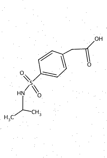 CC(C)NS(=O)(=O)c1ccc(CC(=O)O)cc1